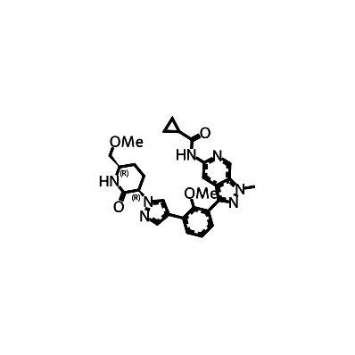 COC[C@H]1CC[C@@H](n2cc(-c3cccc(-c4nn(C)c5cnc(NC(=O)C6CC6)cc45)c3OC)cn2)C(=O)N1